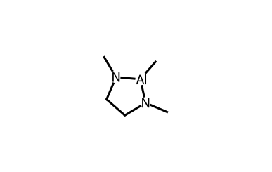 C[N]1CC[N](C)[Al]1[CH3]